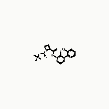 CC(C)(C)OC(=O)N1CCC1C(=O)Nc1cccc(-c2ccccc2Cl)c1F